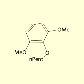 CCCCCOc1c(OC)c[c]cc1OC